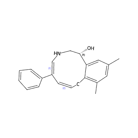 Cc1cc(C)c2c(c1)[C@@H](O)CN/C=C(c1ccccc1)\C=C/C2